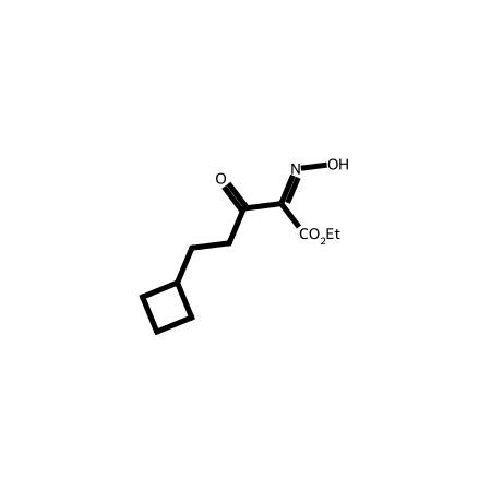 CCOC(=O)/C(=N\O)C(=O)CCC1CCC1